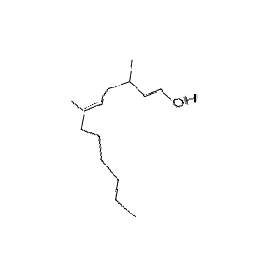 CCCCCCC(C)=CCC(C)CCO